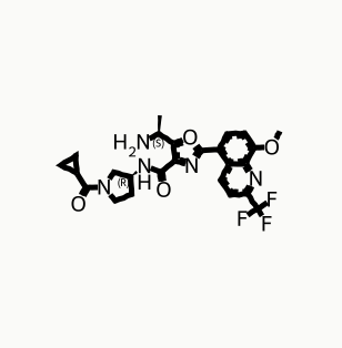 COc1ccc(-c2nc(C(=O)N[C@@H]3CCN(C(=O)C4CC4)C3)c([C@H](C)N)o2)c2ccc(C(F)(F)F)nc12